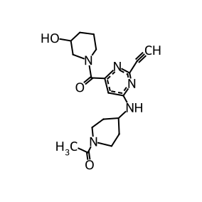 C#Cc1nc(NC2CCN(C(C)=O)CC2)cc(C(=O)N2CCCC(O)C2)n1